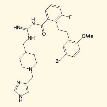 COc1ccc(Br)cc1CCc1c(F)cccc1C(=O)NC(=N)NCC1CCN(Cc2c[nH]cn2)CC1